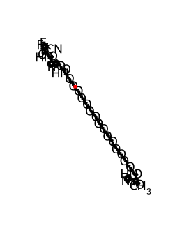 CN1C(=O)C[C@H](C(=O)NCCOCCOCCOCCOCCOCCOCCOCCOCCOCCOCCOCCOCCOCCOCCOCCNC(=O)COc2ccc3c(C(=O)NCC(=O)N4CC(F)(F)C[C@H]4C#N)ccnc3c2)[C@H]1c1cccnc1